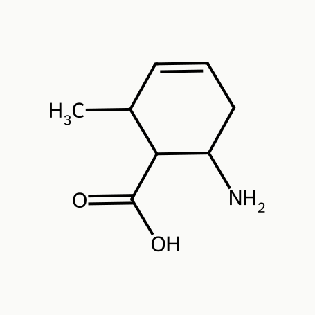 CC1C=CCC(N)C1C(=O)O